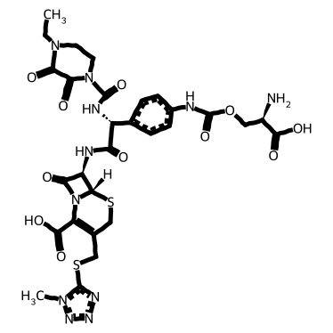 CCN1CCN(C(=O)N[C@@H](C(=O)N[C@@H]2C(=O)N3C(C(=O)O)=C(CSc4nnnn4C)CS[C@@H]23)c2ccc(NC(=O)OC[C@@H](N)C(=O)O)cc2)C(=O)C1=O